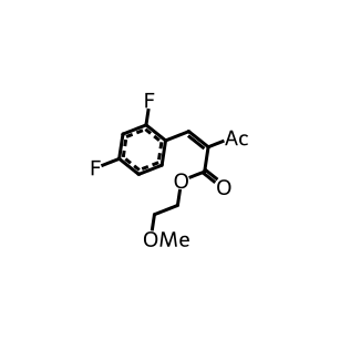 COCCOC(=O)C(=Cc1ccc(F)cc1F)C(C)=O